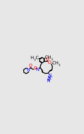 Cc1cc(C)c2c(c1)CC(=NOCC(=O)N1CCCCC1)/C=C/C[C@@H](N=[N+]=[N-])/C=C/C[C@@H](C)OC2=O